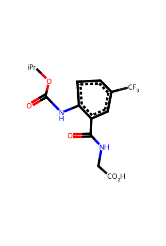 CC(C)OC(=O)Nc1ccc(C(F)(F)F)cc1C(=O)NCC(=O)O